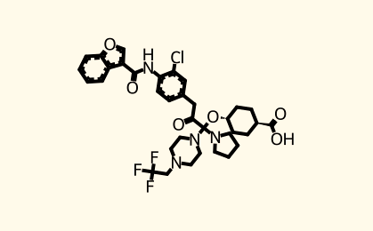 O=C(Nc1ccc(CC(=O)C(O[C@H]2CC[C@H](C(=O)O)CC2)(N2CCCC2)N2CCN(CC(F)(F)F)CC2)cc1Cl)c1coc2ccccc12